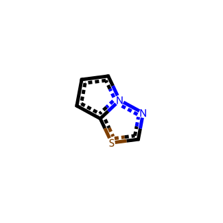 c1cc2scnn2c1